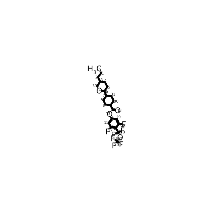 CCCC1CCC(C2CCC(C(=O)Oc3cc(F)c(C(F)(F)OC(F)(F)F)c(F)c3)CC2)OC1